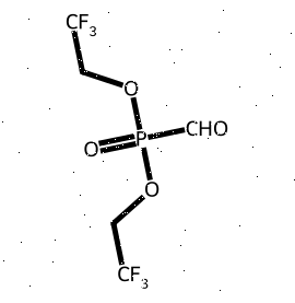 O=CP(=O)(OCC(F)(F)F)OCC(F)(F)F